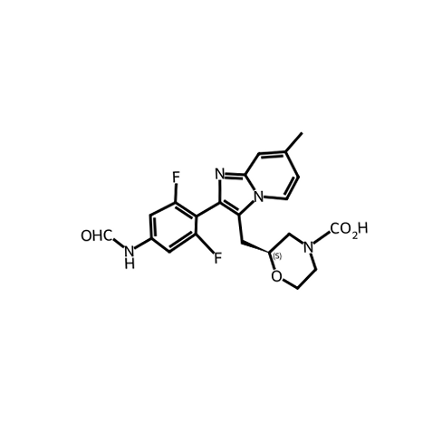 Cc1ccn2c(C[C@H]3CN(C(=O)O)CCO3)c(-c3c(F)cc(NC=O)cc3F)nc2c1